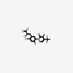 Cc1c(C(F)(F)F)cnn(-c2cc(/C=C(\Cl)C(=O)Cl)c(Cl)cc2F)c1=O